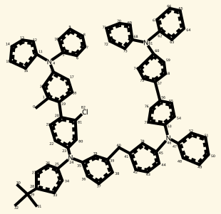 Cc1cc(N(c2ccccc2)c2ccccc2)ccc1-c1ccc(N(c2ccc(C(C)(C)C)cc2)c2cccc(Cc3cccc(N(c4ccccc4)c4ccc(-c5ccc(N(c6ccccc6)c6ccccc6)cc5)cc4)c3)c2)cc1Cl